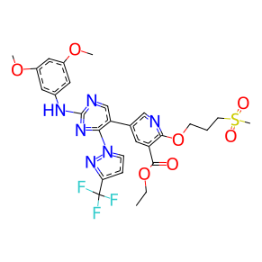 CCOC(=O)c1cc(-c2cnc(Nc3cc(OC)cc(OC)c3)nc2-n2ccc(C(F)(F)F)n2)cnc1OCCCS(C)(=O)=O